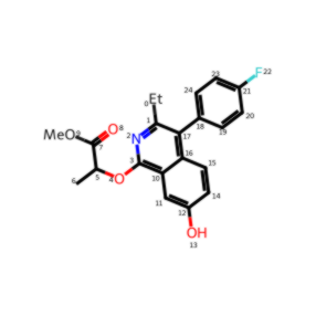 CCc1nc(OC(C)C(=O)OC)c2cc(O)ccc2c1-c1ccc(F)cc1